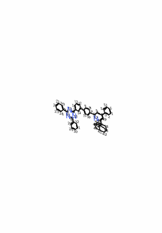 c1ccc(-c2cc(-c3ccc(-c4cccc(-c5nc(-c6ccccc6)nc(-c6ccccc6)n5)c4)cc3)nc(C34CC5CC(CC(C5)C3)C4)c2)cc1